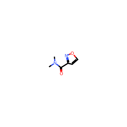 CN(C)C(=O)c1ccon1